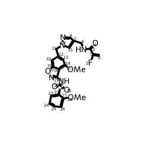 C=C(F)C(=O)NCc1cnn(Cc2cc(OC)c3c(NS(=O)(=O)c4ccccc4OC)noc3c2)c1